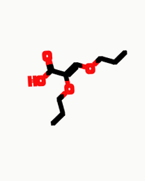 CCCOC=C(OCCC)C(=O)O